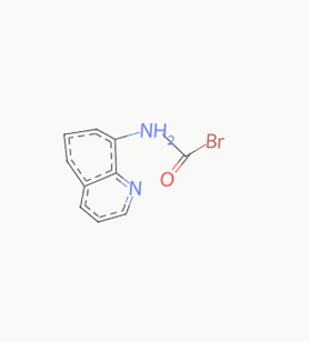 CC(=O)Br.Nc1cccc2cccnc12